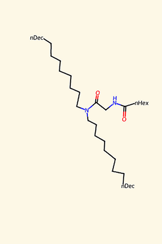 CCCCCCCCCCCCCCCCCCN(CCCCCCCCCCCCCCCCCC)C(=O)CNC(=O)CCCCCC